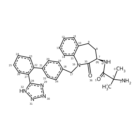 CC(C)(N)C(=O)N[C@@H]1CCc2ccccc2N(Cc2ccc(-c3ccccc3-c3nnn[nH]3)cc2)C1=O